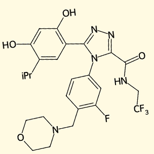 CC(C)c1cc(-c2nnc(C(=O)NCC(F)(F)F)n2-c2ccc(CN3CCOCC3)c(F)c2)c(O)cc1O